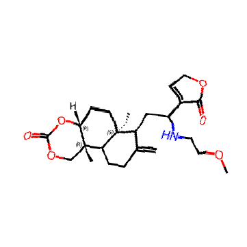 C=C1CCC2[C@@](C)(CC[C@H]3OC(=O)OC[C@@]23C)C1CC(NCCOC)C1=CCOC1=O